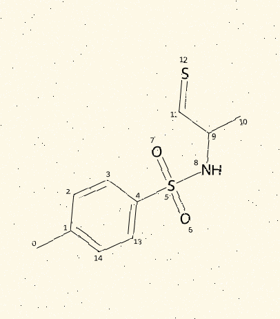 Cc1ccc(S(=O)(=O)NC(C)C=S)cc1